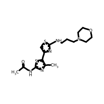 CC(=O)Nc1nc(C)c(-c2csc(NCCCN3CCOCC3)n2)s1